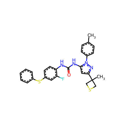 Cc1ccc(-n2nc(C3(C)CSC3)cc2NC(=O)Nc2ccc(Sc3ccccc3)cc2F)cc1